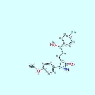 CCCCOc1ccc(C2NC(=O)[C@@H]2CCC(O)c2ccc(F)cc2)cc1